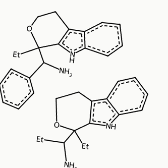 CCC(N)C1(CC)OCCc2c1[nH]c1ccccc21.CCC1(C(N)c2ccccc2)OCCc2c1[nH]c1ccccc21